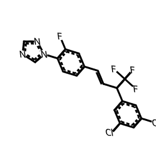 Fc1cc(/C=C/C(c2cc(Cl)cc(Cl)c2)C(F)(F)F)ccc1-n1cncn1